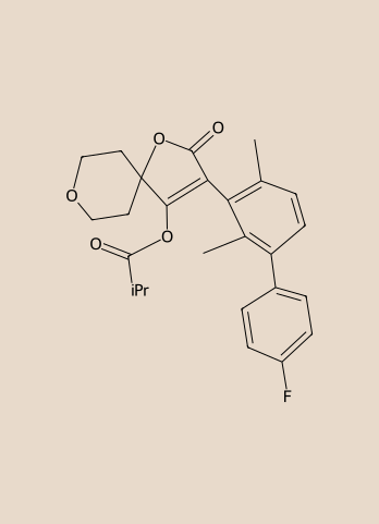 Cc1ccc(-c2ccc(F)cc2)c(C)c1C1=C(OC(=O)C(C)C)C2(CCOCC2)OC1=O